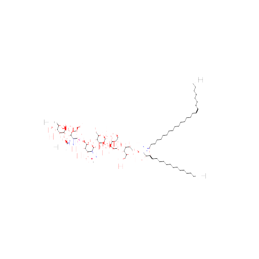 CCCCCCCC/C=C\CCCCCCCCCCCCCCCC(=O)N[C@@H](CO[C@@H]1OC(CO)[C@@H](O[C@@H]2OC(CO)[C@H](O[C@@H]3OC(CO)[C@H](O)[C@H](O[C@@H]4OC(CO[C@@H]5OC(CO)[C@@H](O)[C@H](O[C@H]6C(O)[C@H](O)C(C)O[C@H]6O)C5NC(C)=O)[C@H](O)[C@H](O)C4NC(C)=O)C3O)[C@H](O)C2O)[C@H](O)C1O)[C@H](O)/C=C/CCCCCCCCCCCCC